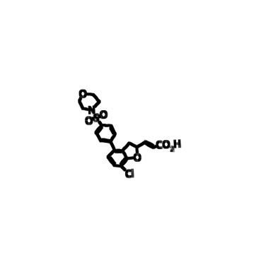 O=C(O)C=CC1Cc2c(-c3ccc(S(=O)(=O)N4CCOCC4)cc3)ccc(Cl)c2O1